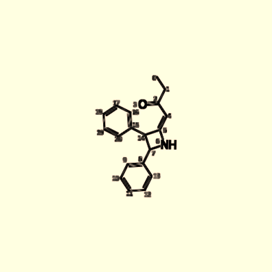 CCC(=O)/C=C1/NC(c2ccccc2)C1c1ccccc1